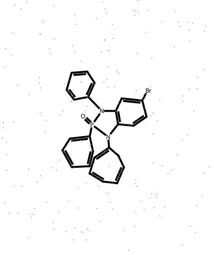 O=P1(c2ccccc2)N(C2=CC=CC=CC2)c2ccc(Br)cc2N1c1ccccc1